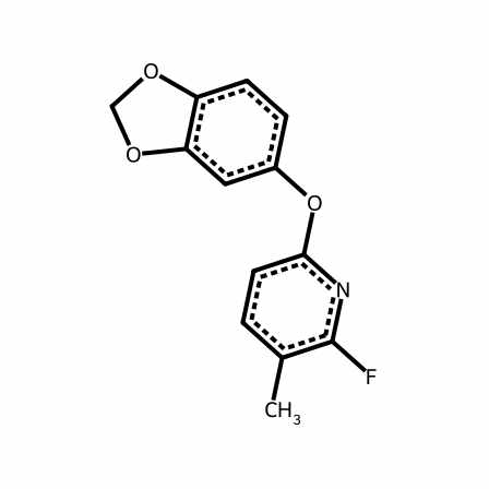 Cc1ccc(Oc2ccc3c(c2)OCO3)nc1F